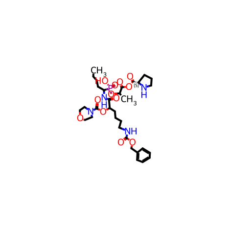 CCCCC(NC(=O)C(CCCCNC(=O)OCc1ccccc1)OC(=O)N1CCOCC1)P(=O)(O)OC(C)C(=O)OC(=O)[C@@H]1CCCN1